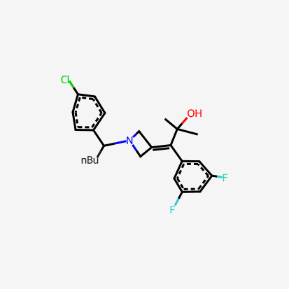 CCCCC(c1ccc(Cl)cc1)N1CC(=C(c2cc(F)cc(F)c2)C(C)(C)O)C1